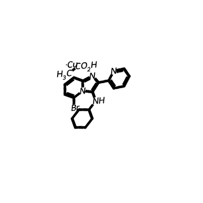 Brc1cccc2nc(-c3ccccn3)c(NC3CCCCC3)n12.CC(=O)O.[Cu]